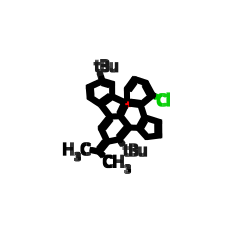 CC(C)=c1cc2c(c(C3=C(c4ccccc4Cl)C=CC3)c1C(C)(C)C)=[C]c1cc(C(C)(C)C)ccc1-2